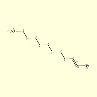 CCCCCCCCCCCCCCCC/C=C/C(C)C